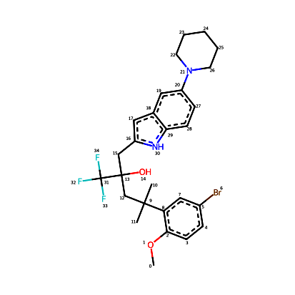 COc1ccc(Br)cc1C(C)(C)CC(O)(Cc1cc2cc(N3CCCCC3)ccc2[nH]1)C(F)(F)F